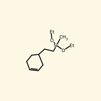 CCO[Si](C)(CCC1CC=CCC1)OCC